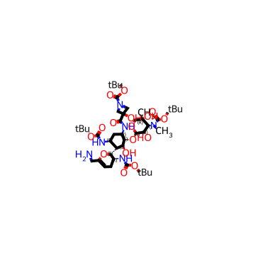 CN(C(=O)OC(C)(C)C)[C@@H]1[C@@H](O)[C@@H](O[C@H]2[C@H](NC(=O)C3(O)CN(C(=O)OC(C)(C)C)C3)C[C@H](NC(=O)OC(C)(C)C)C([C@H]3OC(CN)=CC[C@H]3NC(=O)OC(C)(C)C)[C@@H]2O)OC[C@]1(C)O